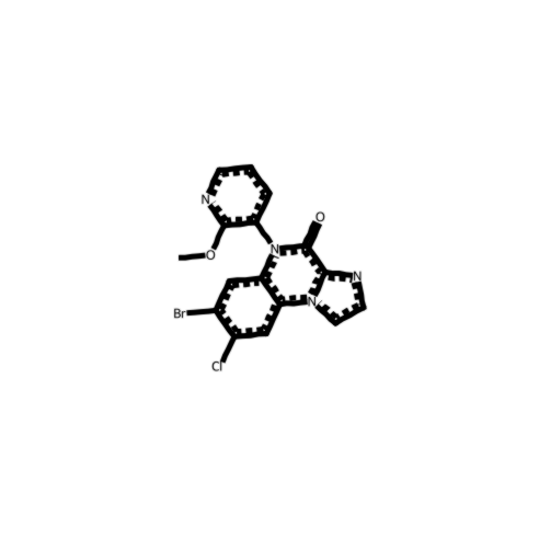 COc1ncccc1-n1c(=O)c2nccn2c2cc(Cl)c(Br)cc21